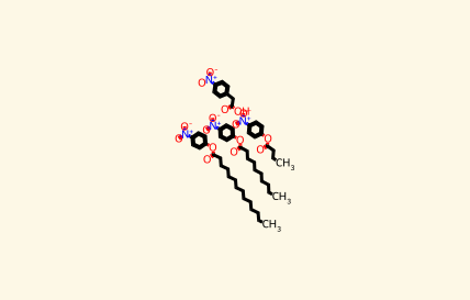 CCCC(=O)Oc1ccc([N+](=O)[O-])cc1.CCCCCCCCCC(=O)Oc1ccc([N+](=O)[O-])cc1.CCCCCCCCCCCCCC(=O)Oc1ccc([N+](=O)[O-])cc1.O=C(O)Cc1ccc([N+](=O)[O-])cc1